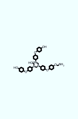 NCOc1ccc(Oc2ccc(N(CNc3ccc(Oc4ccc(O)cc4)cc3)CN(CO)c3ccc(Oc4ccc(O)cc4)cc3)cc2)cc1